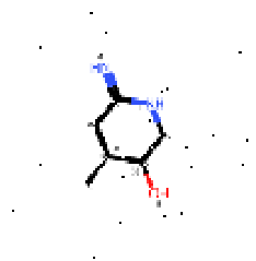 C[C@H]1CC(=N)NC[C@H]1O